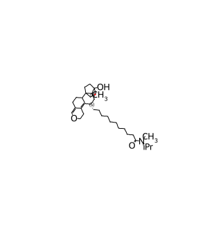 CC(C)N(C)C(=O)CCCCCCCCCC[C@H]1C[C@]2(C)C3(O)CCC2(CC3)C2CCC3=COCCC3=C21